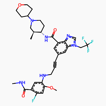 CNC(=O)c1cc(NCC#Cc2cc(C(=O)N[C@H]3CCN(C4CCOCC4)C[C@@H]3C)c3ncn(CC(F)(F)F)c3c2)c(OC)cc1F